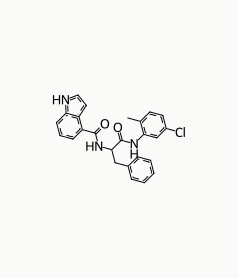 Cc1ccc(Cl)cc1NC(=O)C(Cc1ccccc1)NC(=O)c1cccc2[nH]ccc12